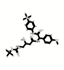 COc1ccc(C(NC(=O)CC(O)CNC(=O)OC(C)(C)C)C(=O)Nc2ccc(S(C)(C)C)cc2)cc1